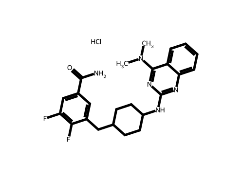 CN(C)c1nc(NC2CCC(Cc3cc(C(N)=O)cc(F)c3F)CC2)nc2ccccc12.Cl